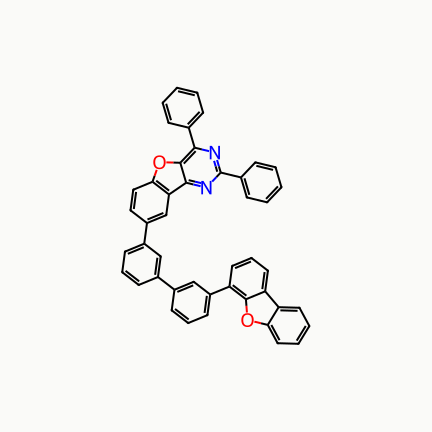 c1ccc(-c2nc(-c3ccccc3)c3oc4ccc(-c5cccc(-c6cccc(-c7cccc8c7oc7ccccc78)c6)c5)cc4c3n2)cc1